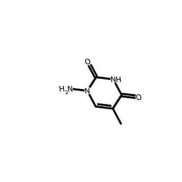 Cc1cn(N)c(=O)[nH]c1=O